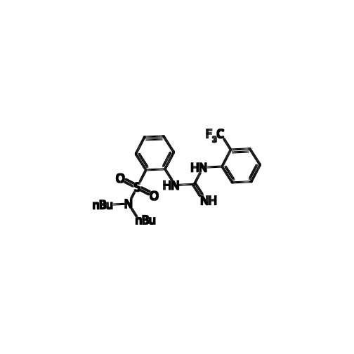 CCCCN(CCCC)S(=O)(=O)c1ccccc1NC(=N)Nc1ccccc1C(F)(F)F